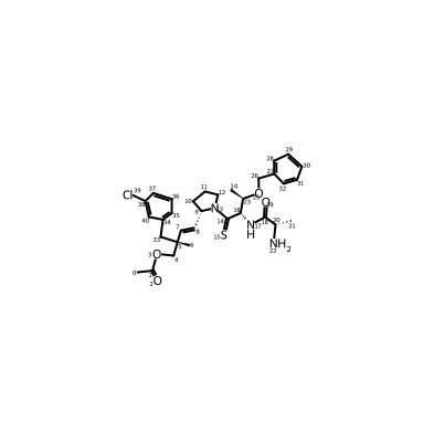 CC(=O)OC[C@@](C)(/C=C/[C@@H]1CCCN1C(=S)[C@@H](NC(=O)[C@H](C)N)[C@@H](C)OCc1ccccc1)Cc1cccc(Cl)c1